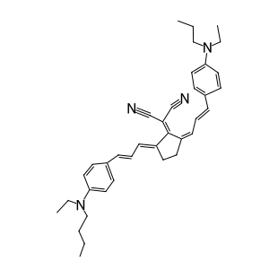 CCCCN(CC)c1ccc(/C=C/C=C2\CC/C(=C/C=C/c3ccc(N(CC)CCC)cc3)C2=C(C#N)C#N)cc1